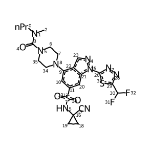 CCCN(C)C(=O)N1CCN(c2cc(S(=O)(=O)NC3(C#N)CC3)cc3c2cnn3-c2nnc(C(F)F)s2)CC1